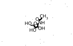 CCC(=O)NC1O[C@H](CO)[C@@H](O)[C@@H]1O